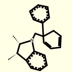 C[C@H]1c2ccccc2N(CC2(c3ccccc3)C=CC=CC2)[C@H]1C